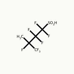 CC(F)(C(F)(F)F)C(F)(F)C(F)(F)S(=O)(=O)O